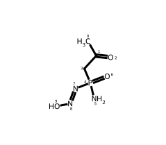 CC(=O)CP(N)(=O)N=NO